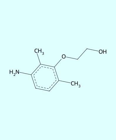 Cc1ccc(N)c(C)c1OCCO